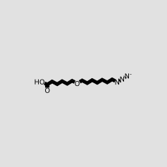 [N-]=[N+]=NCCCCCCCOCCCCCC(=O)O